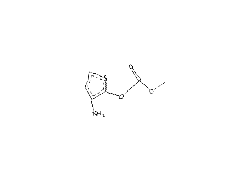 COC(=O)Oc1sccc1N